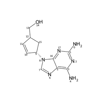 Nc1nc(N)c2ncn([C@@H]3C=CC(CO)C3)c2n1